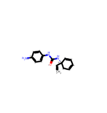 C=C[C@@]1(NC(=O)Nc2ccc(N)cc2)C=CC=CC1